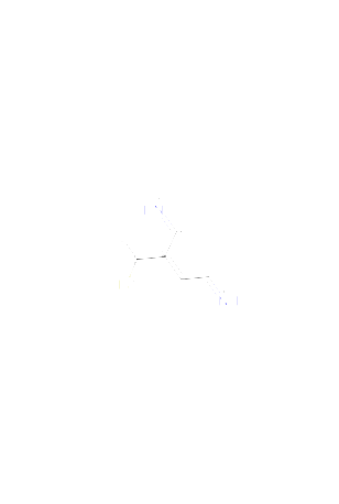 CC(S)/C(C=N)=C/C=N